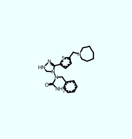 NC(=O)N(Cc1ccccc1)N1CNN=C1c1ccc(CN2CCCCCC2)s1